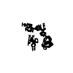 O=C(O)C(F)(F)F.O=S1(=O)CCc2ccc(N3CC[C@H](C(CF)n4cc(-c5ncnc6[nH]ccc56)cn4)C3)nc21